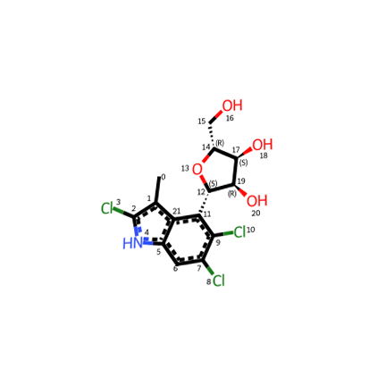 Cc1c(Cl)[nH]c2cc(Cl)c(Cl)c([C@@H]3O[C@H](CO)[C@@H](O)[C@H]3O)c12